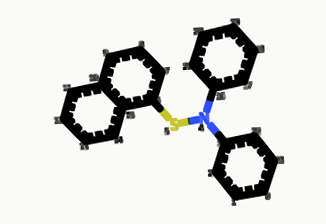 c1ccc(N(Sc2cccc3ccccc23)c2ccccc2)cc1